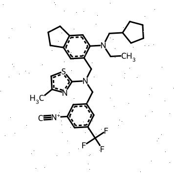 [C-]#[N+]c1cc(CN(Cc2cc3c(cc2N(CC)CC2CCCC2)CCC3)c2nc(C)cs2)cc(C(F)(F)F)c1